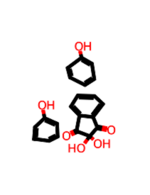 O=C1c2ccccc2C(=O)C1(O)O.Oc1ccccc1.Oc1ccccc1